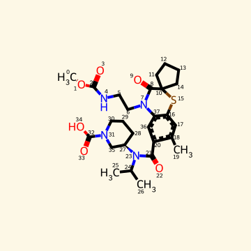 COC(=O)NCCN1C(=O)C2(CCCC2)Sc2cc(C)c(C(=O)N(C(C)C)[C@@H]3CCCN(C(=O)O)C3)cc21